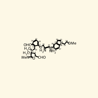 CNC(=O)[C@](C)(CCC=O)N(C)Cc1c(C=O)cccc1OC/C(N)=C/N(N)c1ccc2c(ccn2CCOC)c1